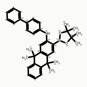 CC1(C)c2ccccc2C(C)(C)c2cc(B3OC(C)(C)C(C)(C)O3)c(Nc3ccc(-c4ccccc4)cc3)cc21